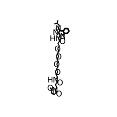 CC(C)Cn1cnc2c(NC(=O)CCOCCOCCOCCOCCNC(=O)CCN3C(=O)C=CC3=O)nc3ccccc3c21